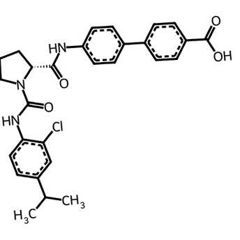 CC(C)c1ccc(NC(=O)N2CCC[C@@H]2C(=O)Nc2ccc(-c3ccc(C(=O)O)cc3)cc2)c(Cl)c1